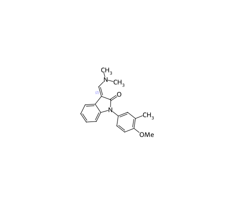 COc1ccc(N2C(=O)/C(=C\N(C)C)c3ccccc32)cc1C